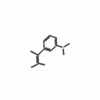 CC(C)=C(C)c1cccc(P(C)C)c1